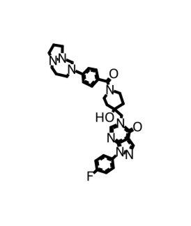 O=C(c1ccc(N2CCCN3CCCN3C2)cc1)N1CCC(O)(Cn2cnc3c(cnn3-c3ccc(F)cc3)c2=O)CC1